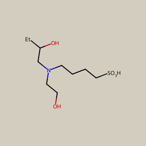 CCC(O)CN(CCO)CCCCS(=O)(=O)O